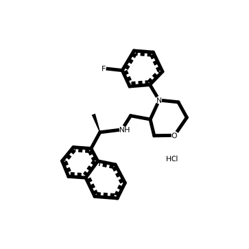 C[C@@H](NCC1COCCN1c1cccc(F)c1)c1cccc2ccccc12.Cl